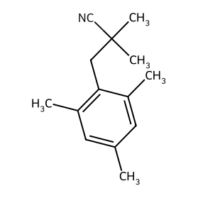 Cc1cc(C)c(CC(C)(C)C#N)c(C)c1